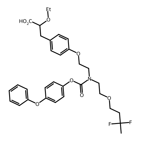 CCOC(Cc1ccc(OCCN(CCOCCC(C)(F)F)C(=O)Oc2ccc(Oc3ccccc3)cc2)cc1)C(=O)O